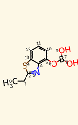 CCc1nc2c(OB(O)O)cccc2s1